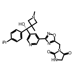 CC(C)c1ccc([C@](O)(c2cncc(-c3noc(CN4C(=O)CNC4=O)n3)c2)C2(C)CN(C)C2)cc1